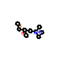 c1ccc(-c2cc(-c3ccc(-c4ccc(-c5cccc6c5sc5ccccc56)c5oc6ccccc6c45)cc3)nc(-c3ccccc3-c3ccccn3)n2)cc1